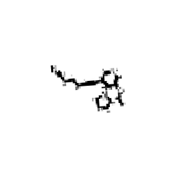 CC(Oc1cncc(C#CCCCC#N)c1)[C@@H]1CCCN1